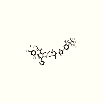 CCOC(=O)C1=C(CN2CCN3C(=O)N(c4nc(-c5ccc(C(C)(C)C(=O)O)cc5)cs4)C[C@@H]3C2)NC(c2nccs2)=N[C@H]1c1ccc(Cl)cc1Cl